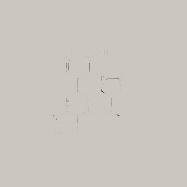 C[C@@H](Oc1cc(/C(C=N)=C/N(C)C)cc2ncccc12)[C@H]1CNC(=O)C1